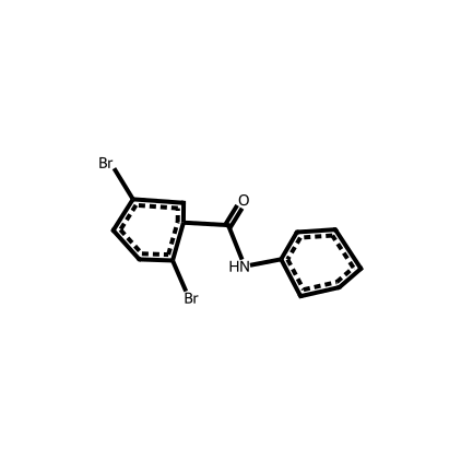 O=C(Nc1ccccc1)c1cc(Br)ccc1Br